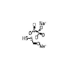 O=CSS.O=S([O-])S(=O)(=O)[O-].[Na+].[Na+]